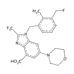 Cc1c(CF)cccc1Cn1c(C(F)(F)F)nc2c(C(=O)O)cc(N3CCOCC3)cc21